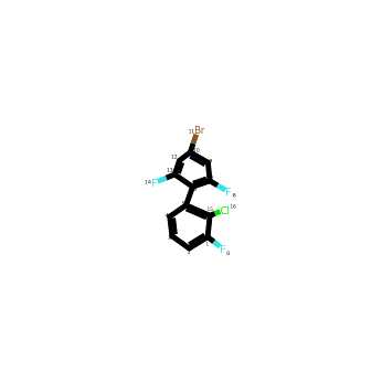 Fc1cc[c]c(-c2c(F)cc(Br)cc2F)c1Cl